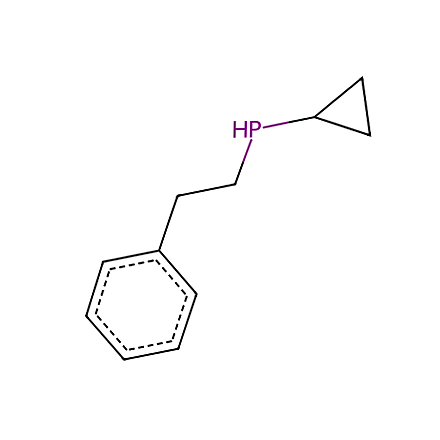 c1ccc(CCPC2CC2)cc1